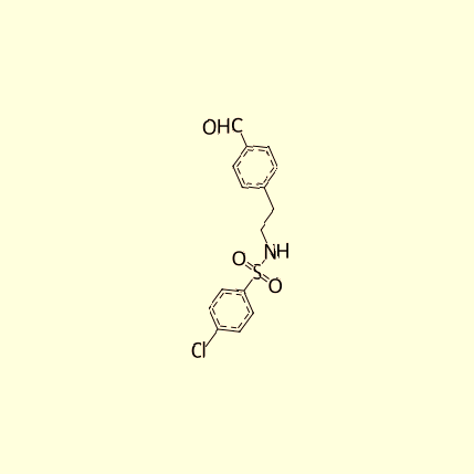 O=Cc1ccc(CCNS(=O)(=O)c2ccc(Cl)cc2)cc1